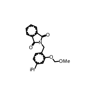 COCOc1cc(C(C)C)ccc1CN1C(=O)c2ccccc2C1=O